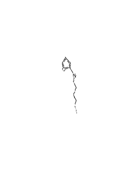 CCCCCC[N]c1ccco1